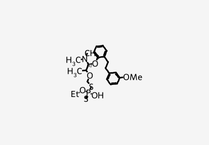 CCOP(O)(=S)SCOC(C)[C@H](Oc1ccccc1CCc1cccc(OC)c1)N(C)C